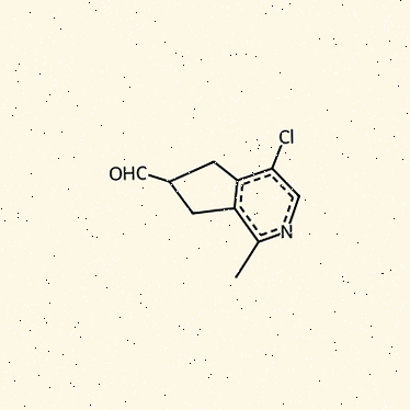 Cc1ncc(Cl)c2c1CC(C=O)C2